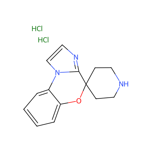 Cl.Cl.c1ccc2c(c1)OC1(CCNCC1)c1nccn1-2